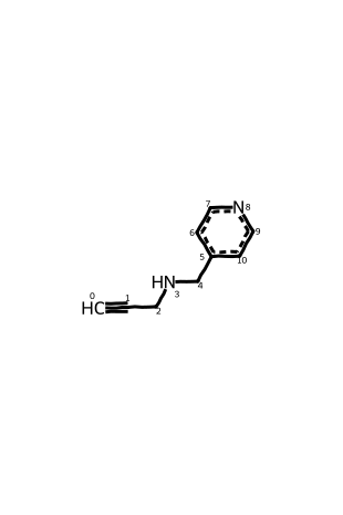 C#CCNCc1ccncc1